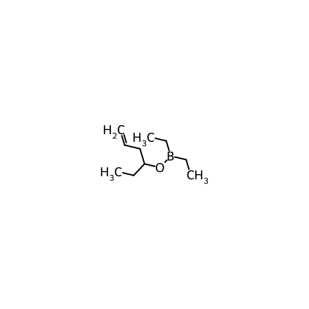 C=CCC(CC)OB(CC)CC